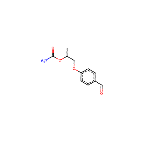 CC(COc1ccc(C=O)cc1)OC(N)=O